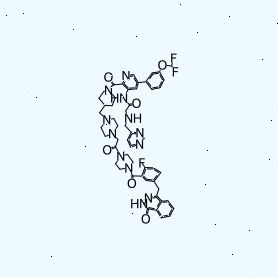 O=C(CNCc1ccncn1)Nc1cc(-c2cccc(OC(F)F)c2)cnc1C(=O)N1CCC(CN2CCN(CC(=O)N3CCN(C(=O)c4cc(Cc5n[nH]c(=O)c6ccccc56)ccc4F)CC3)CC2)CC1